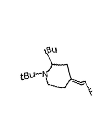 CC(C)(C)C1C/C(=C/F)CCN1C(C)(C)C